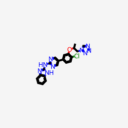 CC(Cn1cnnn1)Oc1cc(-c2cnc(Nc3nc4ccccc4[nH]3)nc2)ccc1Cl